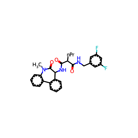 CCCC(C(=O)NCc1cc(F)cc(F)c1)C(=O)NC1C(=O)N(C)c2ccccc2-c2ccccc21